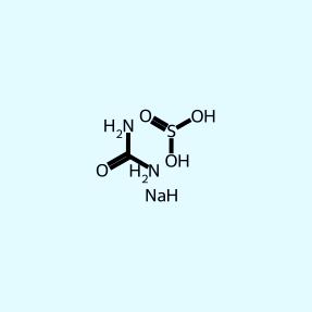 NC(N)=O.O=S(O)O.[NaH]